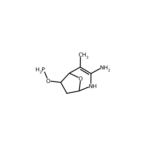 CC1=C(N)NC2CC(OP)C1O2